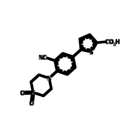 N#Cc1cc(-c2ccc(C(=O)O)s2)ccc1N1CCS(=O)(=O)CC1